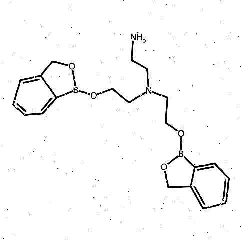 NCCN(CCOB1OCc2ccccc21)CCOB1OCc2ccccc21